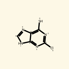 Sc1nc(Cl)nc2[nH]cnc12